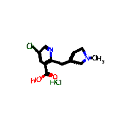 CN1CCC(Cc2ncc(Cl)cc2C(=O)O)C1.Cl